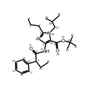 CCCc1nc(NC(=O)C(CC)c2ccccc2)c(C(=O)OC(C)(C)C)n1CC(C)C